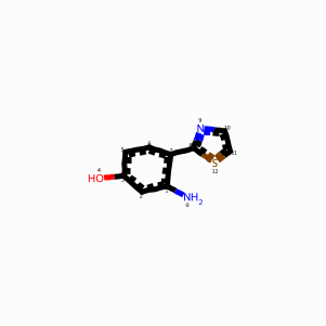 Nc1cc(O)ccc1-c1nccs1